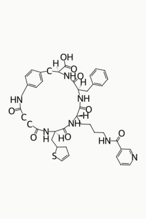 O=C1CCC(=O)N[C@H](CC2CC=CS2)C(=O)N[C@@H](CCCCNC(=O)c2cccnc2)C(=O)N[C@H](Cc2ccccc2)C(=O)N[C@H](C(=O)O)Cc2ccc(cc2)N1